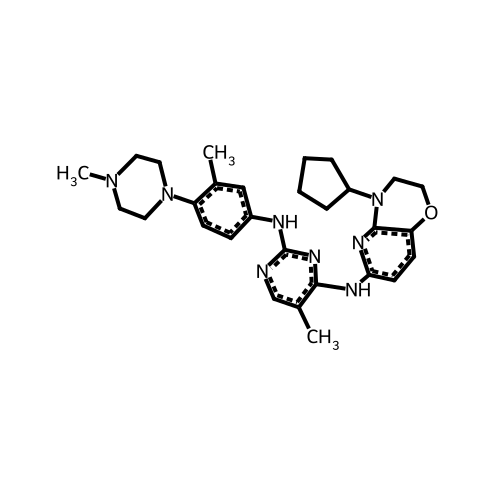 Cc1cc(Nc2ncc(C)c(Nc3ccc4c(n3)N(C3CCCC3)CCO4)n2)ccc1N1CCN(C)CC1